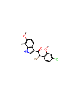 COc1cc(Cl)ccc1C(Br)C(=O)c1c[nH]c2c(C)c(OC)ccc12